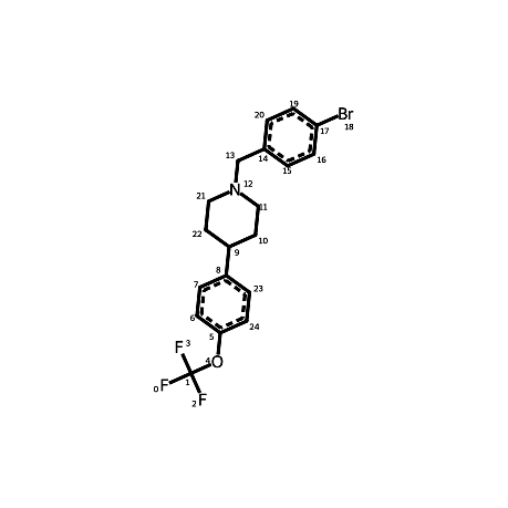 FC(F)(F)Oc1ccc(C2CCN(Cc3ccc(Br)cc3)CC2)cc1